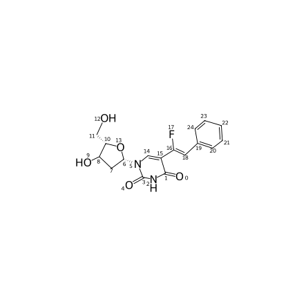 O=c1[nH]c(=O)n([C@@H]2CC(O)[C@H](CO)O2)cc1C(F)=Cc1ccccc1